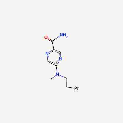 CC(C)CCN(C)c1cnc(C(N)=O)cn1